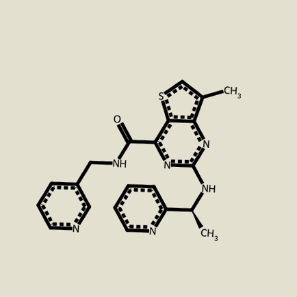 Cc1csc2c(C(=O)NCc3cccnc3)nc(N[C@@H](C)c3ccccn3)nc12